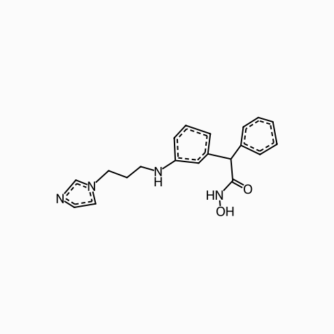 O=C(NO)C(c1ccccc1)c1cccc(NCCCn2ccnc2)c1